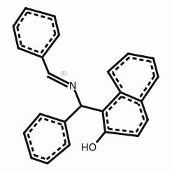 Oc1ccc2ccccc2c1C(/N=C/c1ccccc1)c1ccccc1